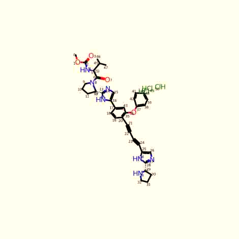 COC(=O)N[C@H](C(=O)N1CCC[C@H]1c1ncc(-c2ccc(C#CC#Cc3cnc([C@@H]4CCCN4)[nH]3)c(Oc3ccccc3)c2)[nH]1)C(C)C.Cl.Cl.Cl